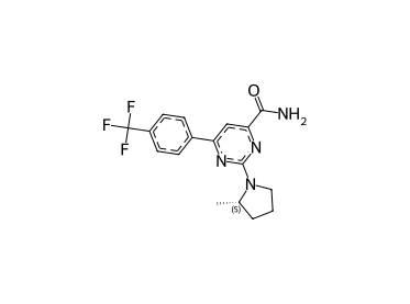 C[C@H]1CCCN1c1nc(C(N)=O)cc(-c2ccc(C(F)(F)F)cc2)n1